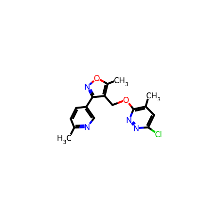 Cc1ccc(-c2noc(C)c2COc2nnc(Cl)cc2C)cn1